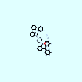 O=C(C[PH](c1ccccc1)(c1ccccc1)c1ccccc1)N1CCN(C(=O)c2ccccc2-c2c3cc(F)c(=O)c(F)c-3oc3c(F)c(OS(=O)(=O)C(F)(F)F)c(F)cc23)CC1